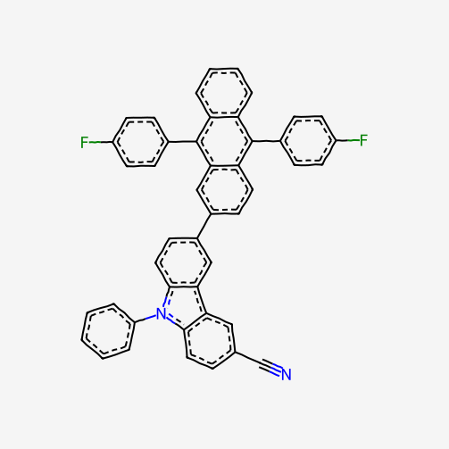 N#Cc1ccc2c(c1)c1cc(-c3ccc4c(-c5ccc(F)cc5)c5ccccc5c(-c5ccc(F)cc5)c4c3)ccc1n2-c1ccccc1